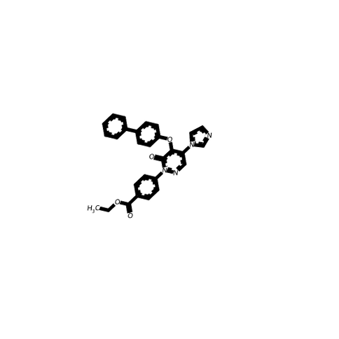 CCOC(=O)c1ccc(-n2ncc(-n3ccnc3)c(Oc3ccc(-c4ccccc4)cc3)c2=O)cc1